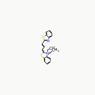 CC[N+]1(CC)C(=CC=Cc2nc3ccccc3s2)Sc2ccccc21.[I-]